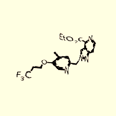 CCOC(=O)c1nccc2nn(Cc3cc(C)c(OCCC(F)(F)F)cn3)cc12